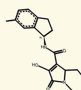 Cc1ccc2c(c1)[C@H](NC(=O)C1=C(O)C(=O)N3CCCCC13)CC2